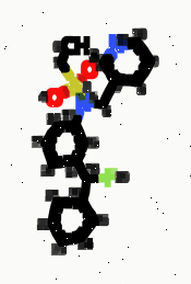 CCS(=O)(=O)N(Cc1cccnc1)c1cccc(C(F)c2ccccc2)c1